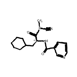 CN(C#N)C(=O)[C@H](CC1CCCCC1)NC(=O)c1cccnc1